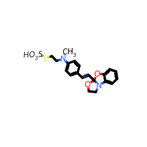 CN(CCSS(=O)(=O)O)c1ccc(/C=C/C23OCCN2c2ccccc2O3)cc1